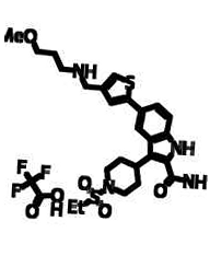 CCS(=O)(=O)N1CCC(c2c(C(N)=O)[nH]c3ccc(-c4cc(CNCCCOC)cs4)cc23)CC1.O=C(O)C(F)(F)F